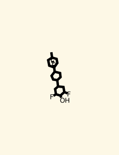 CC12CCC(C3CCC(C4CC(F)C(O)C(F)C4)CC3)(CC1)CC2